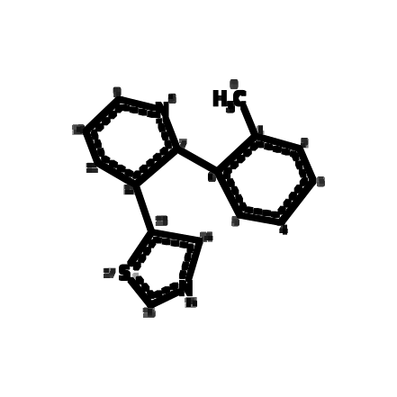 Cc1ccccc1-c1ncccc1-c1cncs1